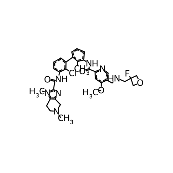 COc1cc(C(=O)Nc2cccc(-c3cccc(NC(=O)c4nc5c(n4C)CCN(C)C5)c3Cl)c2C)ncc1CNCC1(F)COC1